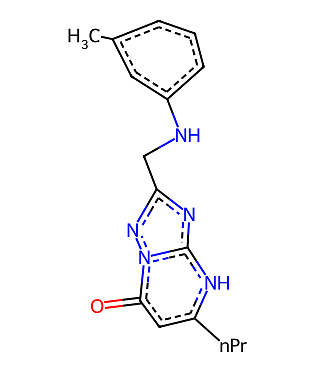 CCCc1cc(=O)n2nc(CNc3cccc(C)c3)nc2[nH]1